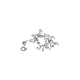 CC[C@H]1OC(=O)[C@H](C)C(=O)[C@H](C)[C@@H](O[C@@H]2OC(C)CC(N)C2O)[C@](CC=O)(OC)C[C@@H](C)CN[C@H](C)[C@H]2N(CCCCn3cc(-c4ccccn4)nn3)C(=O)O[C@]12C